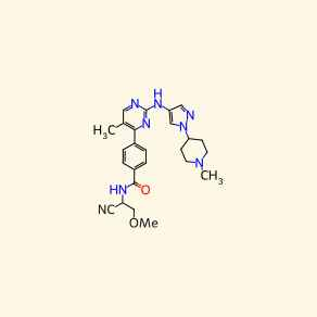 COCC(C#N)NC(=O)c1ccc(-c2nc(Nc3cnn(C4CCN(C)CC4)c3)ncc2C)cc1